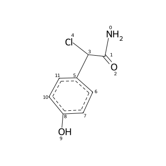 NC(=O)C(Cl)c1ccc(O)cc1